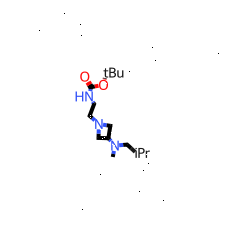 CC(C)CN(C)C1CN(CCNC(=O)OC(C)(C)C)C1